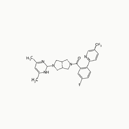 CC1=CC(C)=NC(N2CC3CN(C(=O)c4cc(F)ccc4-c4ccc(C)cn4)CC3C2)N1